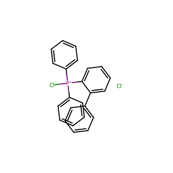 Cl[P+](c1ccccc1)(c1ccccc1)c1ccccc1-c1ccccc1.[Cl-]